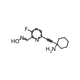 NC1(C#Cc2ccc(F)c(C=NO)n2)CCCCC1